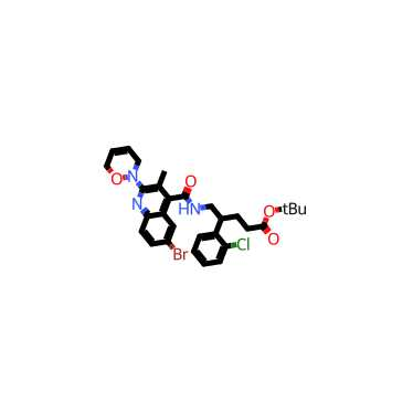 Cc1c(N2CC=CCO2)nc2ccc(Br)cc2c1C(=O)NCC(CCC(=O)OC(C)(C)C)c1ccccc1Cl